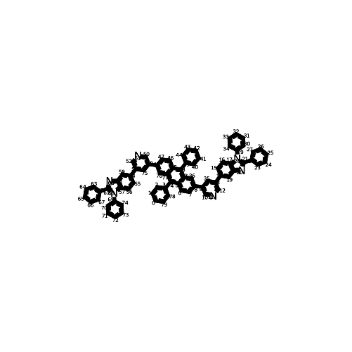 c1ccc(-c2c3ccc(-c4cncc(-c5ccc6c(c5)nc(-c5ccccc5)n6-c5ccccc5)c4)cc3c(-c3ccccc3)c3ccc(-c4cncc(-c5ccc6c(c5)nc(-c5ccccc5)n6-c5ccccc5)c4)cc23)cc1